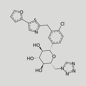 O[C@@H]1[C@@H](O)[C@H](c2ccc(Cl)c(Cc3ncc(-c4ccco4)s3)c2)O[C@H](Cn2cnnn2)[C@H]1O